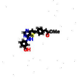 COC(=O)Cc1ccc(-c2cc3ncnc(Nc4cccc(O)c4)c3s2)cc1